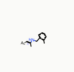 CC(=O)/C=C(\C)NCc1ccccc1C